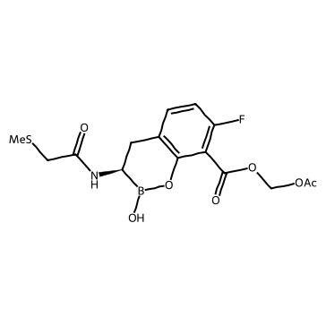 CSCC(=O)N[C@H]1Cc2ccc(F)c(C(=O)OCOC(C)=O)c2OB1O